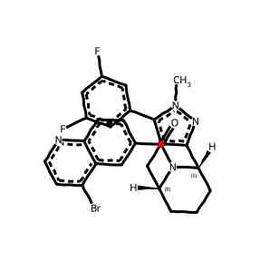 Cn1nc2c(c1-c1cc(F)cc(F)c1)C[C@H]1CCC[C@@H]2N1C(=O)c1ccc2nccc(Br)c2c1